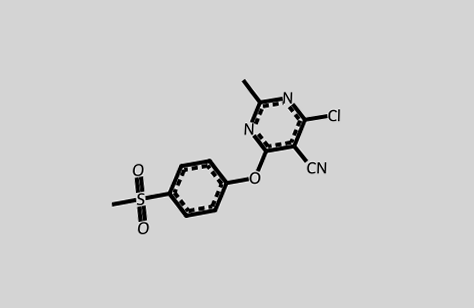 Cc1nc(Cl)c(C#N)c(Oc2ccc(S(C)(=O)=O)cc2)n1